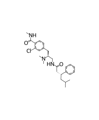 CNC(=O)c1ccc(C[C@@H](CNC(=O)C[C@@H](CC(C)C)c2ccccc2)N(C)C)cc1Cl